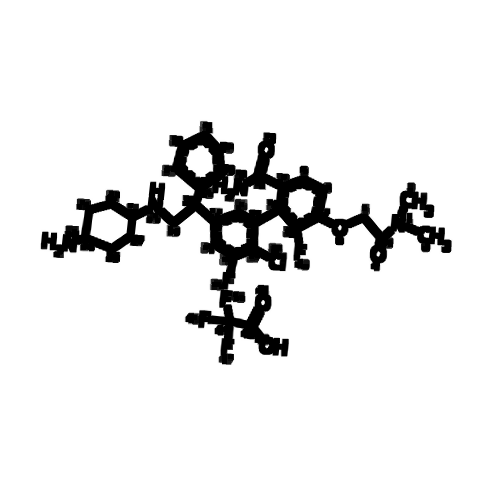 CN(C)C(=O)COc1ccc(C(N)=O)c(-c2cc(C(CNC3CCC(N)CC3)c3ccccc3)cc(F)c2Cl)c1F.O=C(O)C(F)(F)F